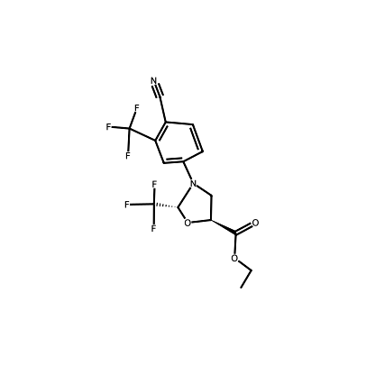 CCOC(=O)[C@@H]1CN(c2ccc(C#N)c(C(F)(F)F)c2)[C@@H](C(F)(F)F)O1